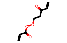 C=CC(=O)CCOOC(=O)C=C